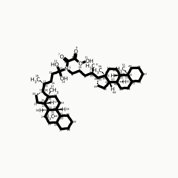 C[C@H](CCCN(C(=O)C(=O)OO)C(O)(O)CC[C@@H](C)[C@H]1CC[C@H]2[C@@H]3CCC4CCCC[C@]4(C)[C@H]3CC[C@]12C)[C@H]1CC[C@H]2[C@@H]3CCC4CCCC[C@]4(C)[C@H]3CC[C@]12C